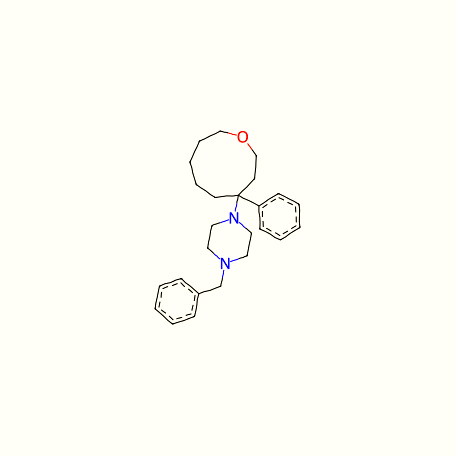 c1ccc(CN2CCN(C3(c4ccccc4)CCCCCOCC3)CC2)cc1